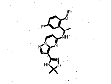 CC(C)Oc1ccc(F)cc1[C@@H](C)Nc1ccn2ncc(C3=NOC(C)(C)N3)c2n1